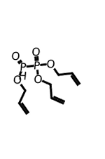 C=CCO[PH](=O)P(=O)(OCC=C)OCC=C